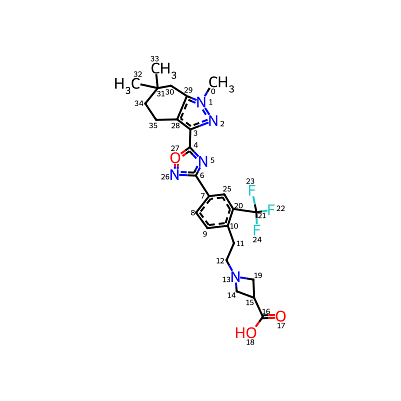 Cn1nc(-c2nc(-c3ccc(CCN4CC(C(=O)O)C4)c(C(F)(F)F)c3)no2)c2c1CC(C)(C)CC2